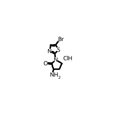 Cl.NC1CCN(c2ncc(Br)s2)C1=O